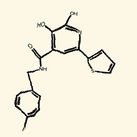 O=C(NCc1ccc(F)cc1)c1cc(-c2cccs2)nc(O)c1O